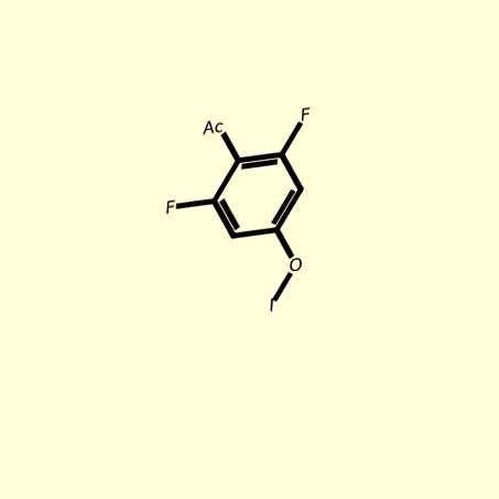 CC(=O)c1c(F)cc(OI)cc1F